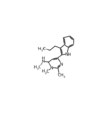 CCCc1c(C2=CC(NC)N(C)C(C)=N2)[nH]c2ccccc12